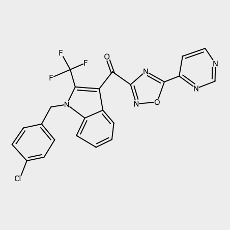 O=C(c1noc(-c2ccncn2)n1)c1c(C(F)(F)F)n(Cc2ccc(Cl)cc2)c2ccccc12